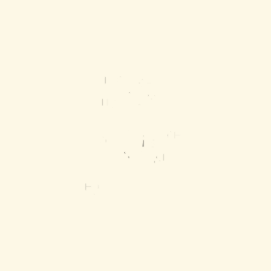 C=CCN1C(=O)C2CC3(C(C)(C)C)OC3CC2([SiH](C)C)C1=O